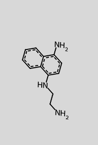 NCCNc1ccc(N)c2ccccc12